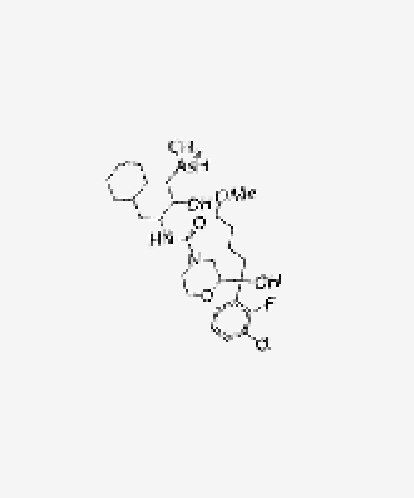 COCCCCC(O)(c1cccc(Cl)c1F)C1CN(C(=O)NC(CC2CCCCC2)C(O)C[AsH]C)CCO1